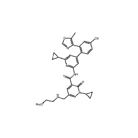 COCCNCc1cc(C(=O)Nc2cc(-c3ccc(C#N)cc3-c3ncoc3C)cc(C3CC3)n2)c(=O)n(C2CC2)c1